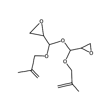 C=C(C)COC(OC(OCC(=C)C)C1CO1)C1CO1